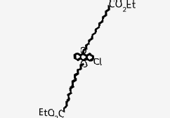 CCOC(=O)CCCCCCCCCCCCCCCCOc1c2ccccc2c(OCCCCCCCCCCCCCCCCC(=O)OCC)c2cc(Cl)ccc12